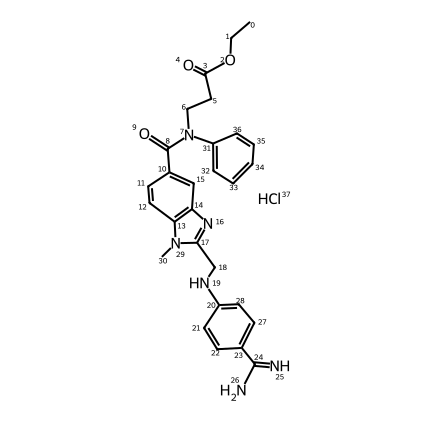 CCOC(=O)CCN(C(=O)c1ccc2c(c1)nc(CNc1ccc(C(=N)N)cc1)n2C)c1ccccc1.Cl